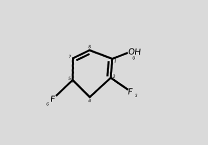 OC1=C(F)C[C](F)C=C1